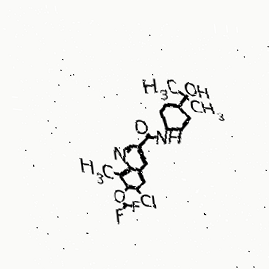 Cc1c(OC(F)F)c(Cl)cc2cc(C(=O)NC3CCC(C(C)(C)O)CC3)cnc12